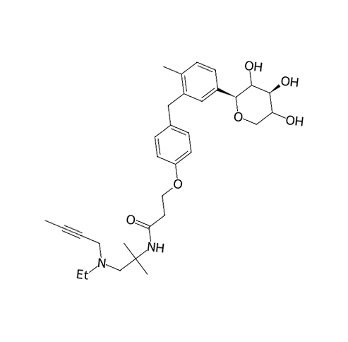 CC#CCN(CC)CC(C)(C)NC(=O)CCOc1ccc(Cc2cc([C@@H]3OCC(O)[C@H](O)C3O)ccc2C)cc1